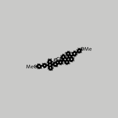 COc1ccc(-c2ccc(-c3c4ccccc4c(-c4ccc5c(c4)C(C)(C)c4cc(-c6c7ccccc7c(-c7c8ccccc8c(-c8ccc(-c9ccc(OC)cc9)cc8)c8ccccc78)c7ccccc67)ccc4-5)c4ccccc34)cc2)cc1